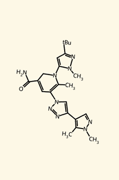 CC1=C(n2cc(-c3cnn(C)c3C)nn2)C=C(C(N)=O)CN1c1cc(C(C)(C)C)nn1C